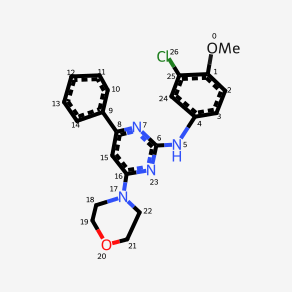 COc1ccc(Nc2nc(-c3ccccc3)cc(N3CCOCC3)n2)cc1Cl